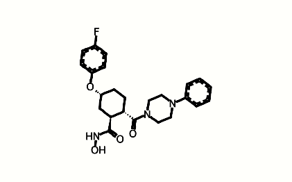 O=C(NO)[C@H]1C[C@H](Oc2ccc(F)cc2)CC[C@@H]1C(=O)N1CCN(c2ccccc2)CC1